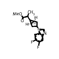 COC(=O)C(C)C1[C@H]2CC(n3cnc4cc(F)c(F)cc43)C[C@@H]12